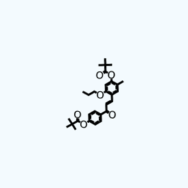 CCCOc1cc(OC(=O)C(C)(C)C)c(C)cc1C=CC(=O)c1ccc(OC(=O)C(C)(C)C)cc1